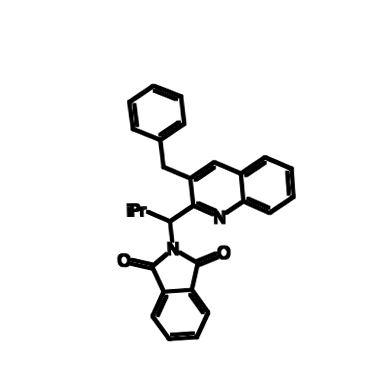 CC(C)C(c1nc2ccccc2cc1Cc1ccccc1)N1C(=O)c2ccccc2C1=O